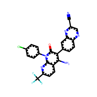 N#Cc1cnc2ccc(-c3c(N)c4ccc(C(F)(F)F)nc4n(-c4ccc(Cl)cc4)c3=O)cc2n1